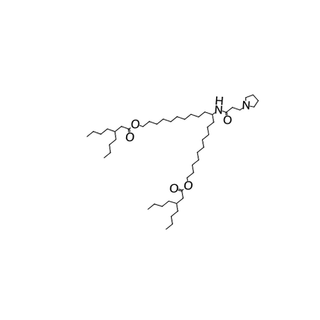 CCCCC(CCCC)CC(=O)OCCCCCCCCCCC(CCCCCCCCCCOC(=O)CC(CCCC)CCCC)NC(=O)CCN1CCCC1